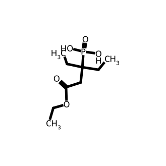 CCOC(=O)CC(CC)(CC)P(=O)(O)O